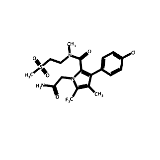 Cc1c(-c2ccc(Cl)cc2)c(C(=O)N(C)CCS(C)(=O)=O)n(CC(N)=O)c1C(F)(F)F